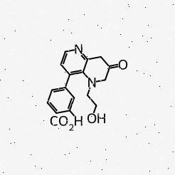 O=C1Cc2nccc(-c3cccc(C(=O)O)c3)c2N(CCO)C1